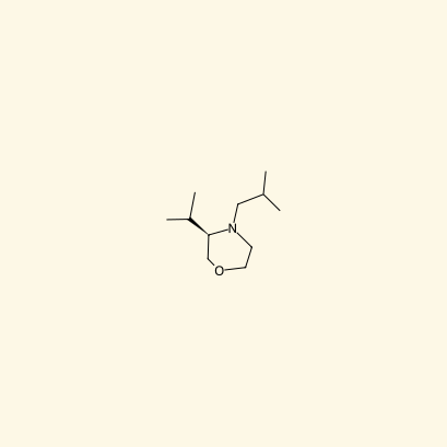 CC(C)CN1CCOC[C@H]1C(C)C